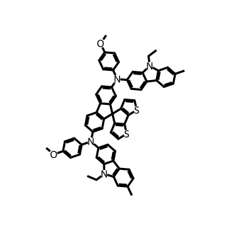 CCn1c2cc(C)ccc2c2ccc(N(c3ccc(OC)cc3)c3ccc4c(c3)C3(c5cc(N(c6ccc(OC)cc6)c6ccc7c8ccc(C)cc8n(CC)c7c6)ccc5-4)c4ccsc4-c4sccc43)cc21